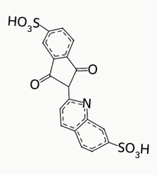 O=C1c2ccc(S(=O)(=O)O)cc2C(=O)C1c1ccc2ccc(S(=O)(=O)O)cc2n1